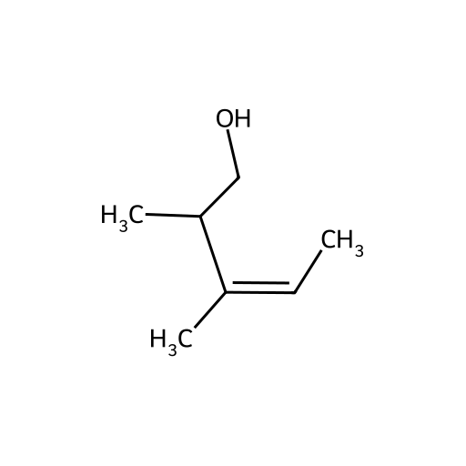 CC=C(C)C(C)CO